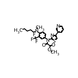 CCCCCN(C)c1ccc(N(C(=O)C(=O)OC)c2nc(-c3cccnc3)cs2)cc1C(F)(F)F